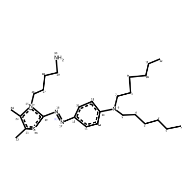 CCCCCCN(CCCCCC)c1ccc(/N=N/c2sc(C)c(C)[n+]2CCCCN)cc1